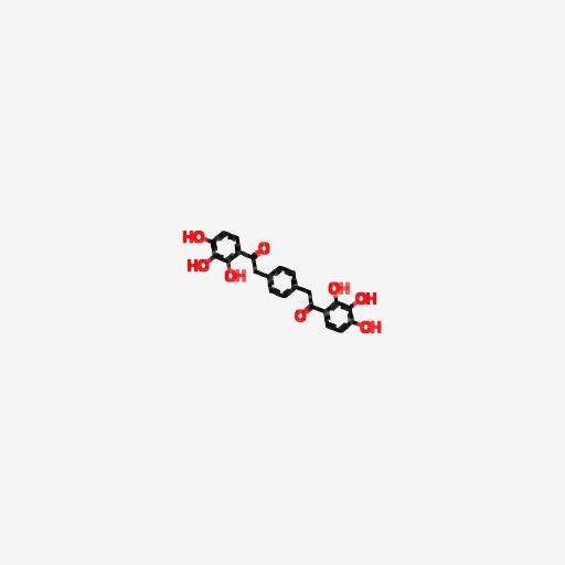 O=C(Cc1ccc(CC(=O)c2ccc(O)c(O)c2O)cc1)c1ccc(O)c(O)c1O